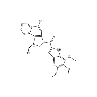 COc1cc2cc(C(=O)N3C[C@@H](CCl)c4c3cc(O)c3ccccc43)[nH]c2c(OC)c1OC